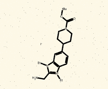 CCn1c(CN)[n+](CC)c2ccc(C3CCN(C(=O)OC(C)(C)C)CC3)cc21.[I-]